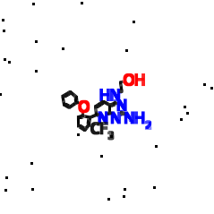 Nc1nc(NCCO)c2ccc(-c3c(Oc4ccccc4)cccc3C(F)(F)F)nc2n1